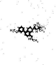 CNCc1ccc(-c2cccc(OC)c2)c2c1CN(C(=O)NC(C)(C)C)CC2